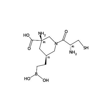 N[C@@H](CS)C(=O)N1C[C@@H](CCB(O)O)C[C@](N)(C(=O)O)C1